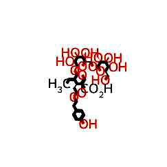 C/C=C1/C(O[C@@H]2O[C@H](CO[C@@H]3O[C@H](CO)[C@@H](O)[C@H](O)[C@H]3O)[C@@H](O)[C@H](O)[C@H]2O)OC=C(C(=O)O)[C@H]1CC(=O)OCCc1ccc(O)cc1